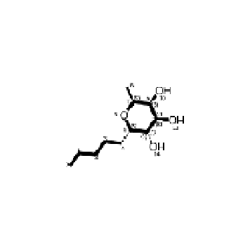 CCCCC[C@@H]1O[C@@H](C)[C@@H](O)[C@@H](O)[C@@H]1O